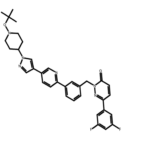 CC(C)(C)ON1CCC(n2cc(-c3ccc(-c4cccc(Cn5nc(-c6cc(F)cc(F)c6)ccc5=O)c4)nc3)cn2)CC1